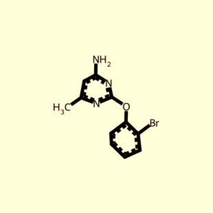 Cc1cc(N)nc(Oc2ccccc2Br)n1